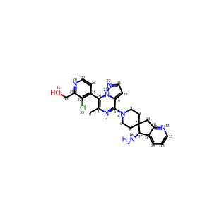 Cc1nc(N2CCC3(CC2)Cc2ncccc2[C@H]3N)c2ccnn2c1-c1ccnc(CO)c1Cl